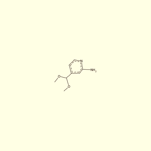 COC(OC)c1ccnc(N)c1